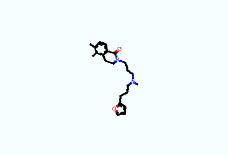 Cc1ccc2c(c1C)CCN(CCCN(C)CCCc1ccco1)C2=O